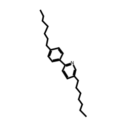 CCCCCCCc1ccc(-c2ccc(CCCCCCC)cn2)cc1